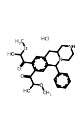 COC(O)C(=O)c1cc2c(cc1C(=O)C(O)OC)C(c1ccccc1)N1CCNCC1C2.Cl